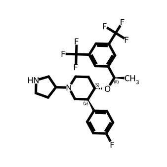 C[C@@H](O[C@H]1CCN(C2CCNC2)C[C@@H]1c1ccc(F)cc1)c1cc(C(F)(F)F)cc(C(F)(F)F)c1